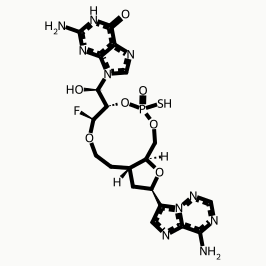 Nc1nc2c(ncn2[C@H](O)[C@@H]2OP(=O)(S)OC[C@H]3O[C@@H](c4cnc5c(N)ncnn45)C[C@@H]3CCO[C@H]2F)c(=O)[nH]1